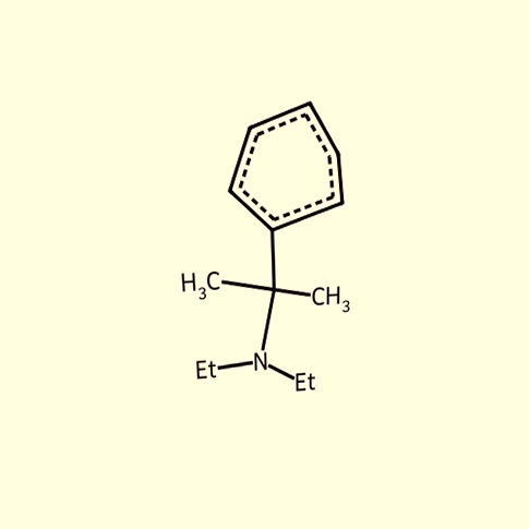 CCN(CC)C(C)(C)c1ccccc1